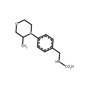 CC1COCCN1c1ccc(CNC(=O)O)cc1